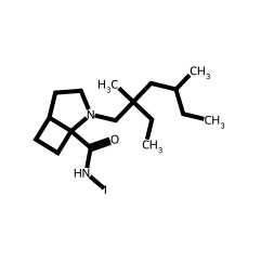 CCC(C)CC(C)(CC)CN1CCC2CCC21C(=O)NI